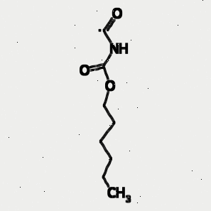 CCCCCCOC(=O)N[C]=O